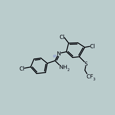 N/C(=N\c1cc(SCC(F)(F)F)c(Cl)cc1Cl)c1ccc(Cl)cc1